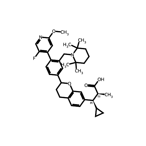 COc1cc(-c2ccc(C3CCc4ccc([C@H](C5CC5)[C@H](C)C(=O)O)cc4O3)cc2CN2C(C)(C)CCCC2(C)C)c(F)cn1